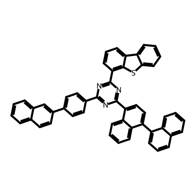 c1ccc2cc(-c3ccc(-c4nc(-c5ccc(-c6cccc7ccccc67)c6ccccc56)nc(-c5cccc6c5sc5ccccc56)n4)cc3)ccc2c1